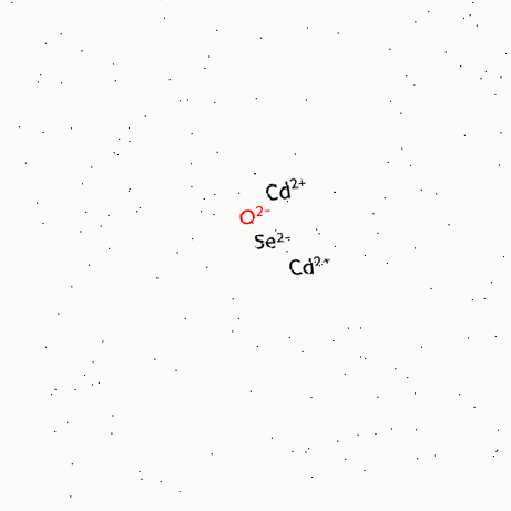 [Cd+2].[Cd+2].[O-2].[Se-2]